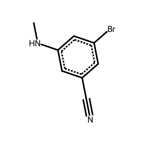 CNc1cc(Br)cc(C#N)c1